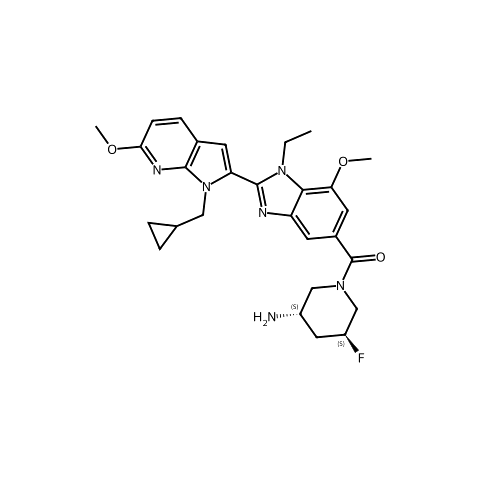 CCn1c(-c2cc3ccc(OC)nc3n2CC2CC2)nc2cc(C(=O)N3C[C@@H](N)C[C@H](F)C3)cc(OC)c21